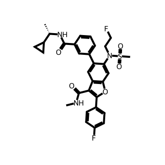 CNC(=O)c1c(-c2ccc(F)cc2)oc2cc(N(CCF)S(C)(=O)=O)c(-c3cccc(C(=O)N[C@@H](C)C4CC4)c3)cc12